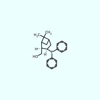 CC1(C)C2CC1[C@H](CO)[C@H](P(c1ccccc1)c1ccccc1)C2